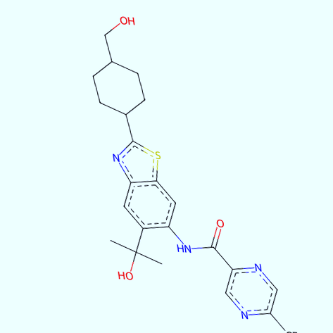 CC(C)(O)c1cc2nc(C3CCC(CO)CC3)sc2cc1NC(=O)c1cnc(C(F)(F)F)cn1